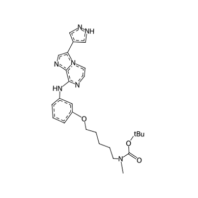 CN(CCCCCOc1cccc(Nc2nccn3c(-c4cn[nH]c4)cnc23)c1)C(=O)OC(C)(C)C